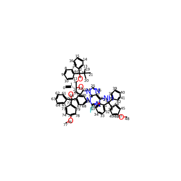 C#C[C@]1(COC(c2ccccc2)(c2ccccc2)C(C)(C)C)O[C@@H](n2cnc3c(NC(c4ccccc4)(c4ccccc4)c4ccc(OC)cc4)nc(F)nc32)C[C@@H]1OC(c1ccccc1)(c1ccccc1)c1ccc(OC)cc1